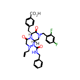 C=CCN1CC(=O)N2[C@@H](Cc3ccc(C(=O)O)cc3)C(=O)N(Cc3ccc(F)cc3F)C[C@@H]2N1C(=O)NCc1ccccc1